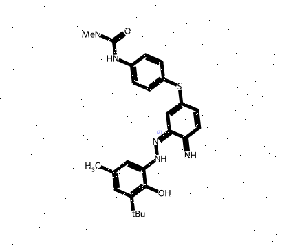 CNC(=O)Nc1ccc(SC2=C/C(=N/Nc3cc(C)cc(C(C)(C)C)c3O)C(=N)C=C2)cc1